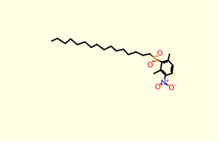 CCCCCCCCCCCCCCCCS(=O)(=O)c1c(C)c[c]c([N+](=O)[O-])c1C